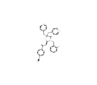 N#Cc1ccc(C(=O)C=C2NC(Cc3ccncc3)(Cc3ccncc3)C(=O)N2Cc2ccccc2Cl)cc1